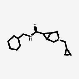 O=C(NCC1CCCCC1)C1C2CN(CC3CC3)CC21